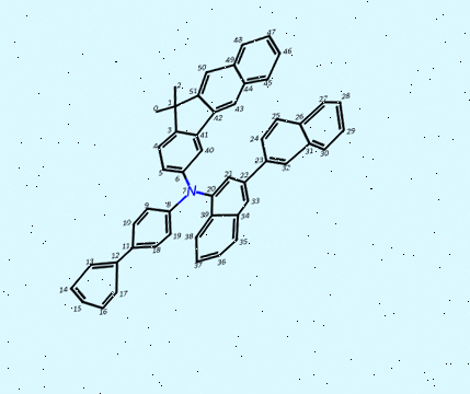 CC1(C)c2ccc(N(c3ccc(-c4ccccc4)cc3)c3cc(-c4ccc5ccccc5c4)cc4ccccc34)cc2-c2cc3ccccc3cc21